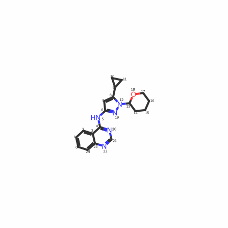 c1ccc2c(Nc3cc(C4CC4)n(C4CCCCO4)n3)ncnc2c1